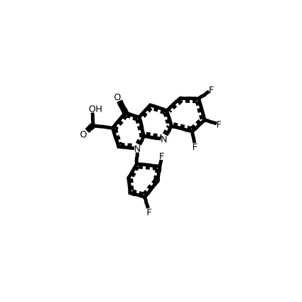 O=C(O)c1cn(-c2ccc(F)cc2F)c2nc3c(F)c(F)c(F)cc3cc2c1=O